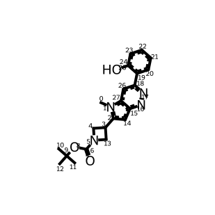 Cn1c(C2CN(C(=O)OC(C)(C)C)C2)cc2nnc(-c3ccccc3O)cc21